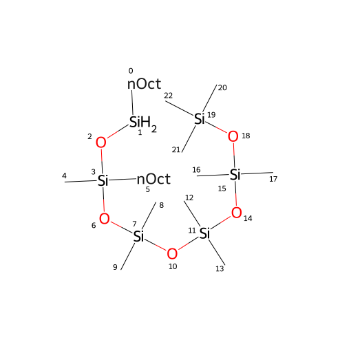 CCCCCCCC[SiH2]O[Si](C)(CCCCCCCC)O[Si](C)(C)O[Si](C)(C)O[Si](C)(C)O[Si](C)(C)C